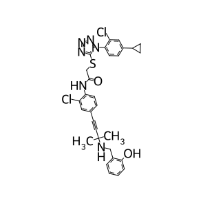 CC(C)(C#Cc1ccc(NC(=O)CSc2nnnn2-c2ccc(C3CC3)cc2Cl)c(Cl)c1)NCc1ccccc1O